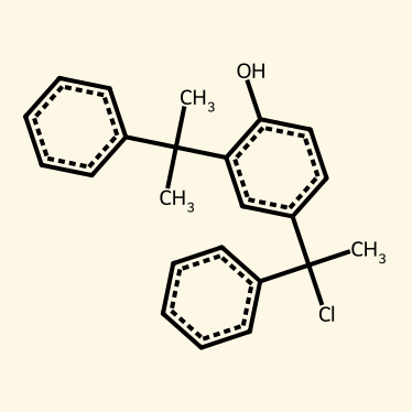 CC(C)(c1ccccc1)c1cc(C(C)(Cl)c2ccccc2)ccc1O